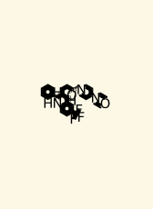 FC(F)(F)c1ccc2c(c1)[C@H]1O[C@@H](CN3CCC(N4CCOCC4)CC3)CC[C@H]1[C@H](c1ccccc1)N2